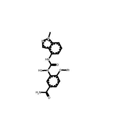 CC(C)Oc1ccc(C(N)=O)cc1N(S)C(=O)Nc1cccc2c1cnn2C